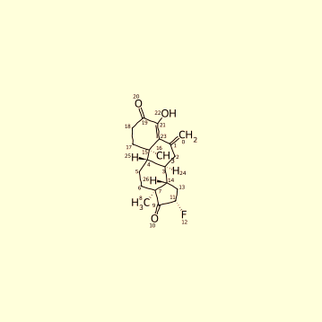 C=C1C[C@@H]2[C@H](CC[C@]3(C)C(=O)[C@@H](F)C[C@@H]23)[C@@]2(C)CCC(=O)C(O)=C12